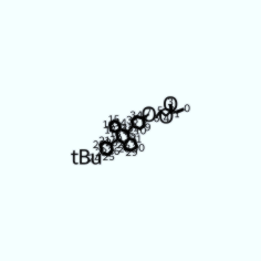 C=CC(=O)OCCOc1ccc(-c2c3ccccc3c(-c3ccc(C(C)(C)C)cc3)c3ccccc23)cc1